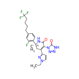 CCn1ccc(C2=C(n3nn[nH]c3=O)C(=O)N[C@](C)(c3ccc(CCCCC(F)(F)F)cc3F)C2)n1